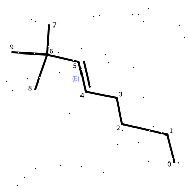 [CH2]CCC/C=C/C(C)(C)C